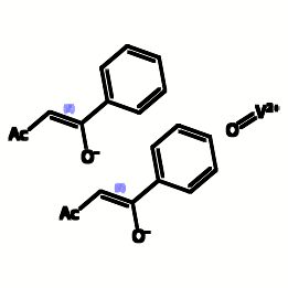 CC(=O)/C=C(\[O-])c1ccccc1.CC(=O)/C=C(\[O-])c1ccccc1.[O]=[V+2]